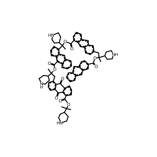 CC(C)(OC(=O)c1cccc2c1C(=O)c1cccc(CC(C)(OC(=O)c3c4ccccc4cc4c(C(C)(OC(=O)c5cccc6cc7cc(CC(C)(OC(=O)c8ccc9cc%10ccccc%10cc9c8)C8CCNCC8)ccc7cc56)C5CCNCC5)cccc34)C3CCNCC3)c1C2=O)C1CCNCC1